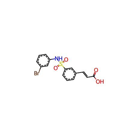 O=C(O)/C=C/c1cccc(S(=O)(=O)Nc2cccc(Br)c2)c1